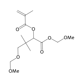 C=C(C)C(=O)OC(C(=O)OCOC)C(C)(C)COCOC